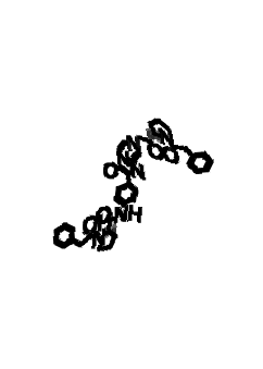 O=C(Cn1ccn2c(=O)c(-c3ccc(NC(=O)[C@@H]4CCCN4C(O)Cc4ccccc4)cc3)nc-2c1)[C@@H]1CCCN1C(=O)Cc1ccccc1